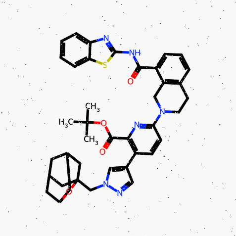 CC(C)(C)OC(=O)c1nc(N2CCc3cccc(C(=O)Nc4nc5ccccc5s4)c3C2)ccc1-c1cnn(CC23CC4CC(CC(C4)O2)C3)c1